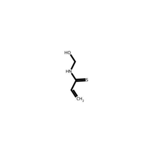 C=CC(=S)NCO